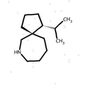 CC(C)[C@H]1CCC[C@]12CCCCNC2